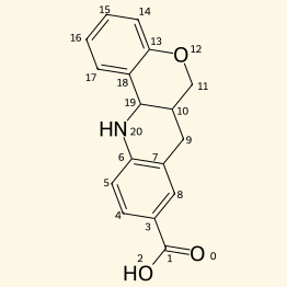 O=C(O)c1ccc2c(c1)CC1COc3ccccc3C1N2